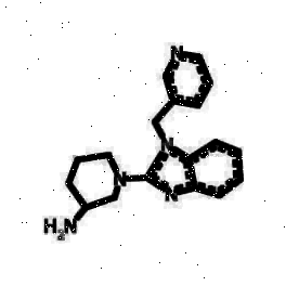 NC1CCCN(c2nc3ccccc3n2Cc2cccnc2)C1